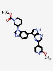 COC(=O)N1CCCC(n2cnc3ccc(-c4c[nH]c5ncc(-c6ccnc(OC)c6)nc45)cc32)C1